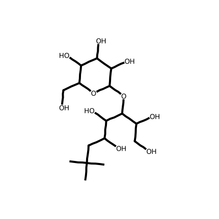 CC(C)(C)CC(O)C(O)C(OC1OC(CO)C(O)C(O)C1O)C(O)CO